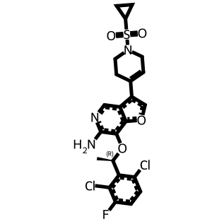 C[C@@H](Oc1c(N)ncc2c(C3=CCN(S(=O)(=O)C4CC4)CC3)coc12)c1c(Cl)ccc(F)c1Cl